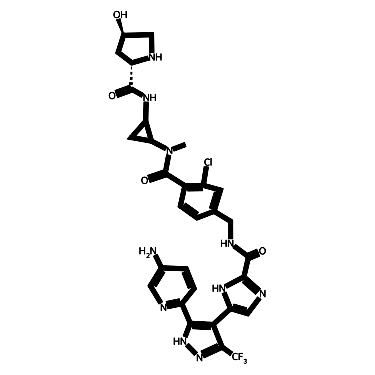 CN(C(=O)c1ccc(CNC(=O)c2ncc(-c3c(C(F)(F)F)n[nH]c3-c3ccc(N)cn3)[nH]2)cc1Cl)C1CC1NC(=O)[C@@H]1C[C@@H](O)CN1